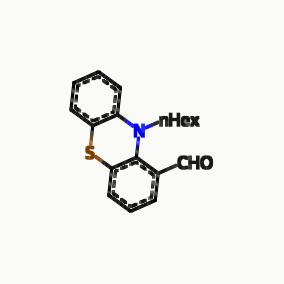 CCCCCCN1c2ccccc2Sc2cccc(C=O)c21